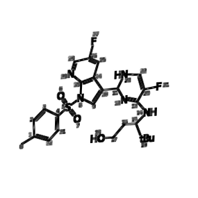 Cc1ccc(S(=O)(=O)n2cc(C3N=C(NC(CCO)C(C)(C)C)C(F)=CN3)c3cc(F)cnc32)cc1